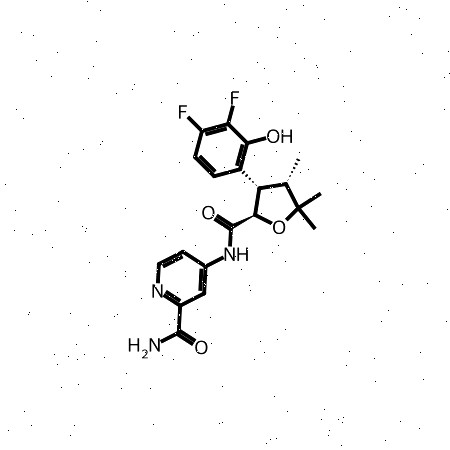 C[C@H]1[C@@H](c2ccc(F)c(F)c2O)[C@H](C(=O)Nc2ccnc(C(N)=O)c2)OC1(C)C